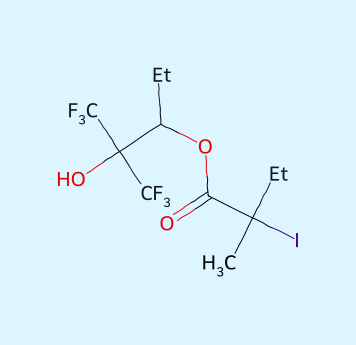 CCC(OC(=O)C(C)(I)CC)C(O)(C(F)(F)F)C(F)(F)F